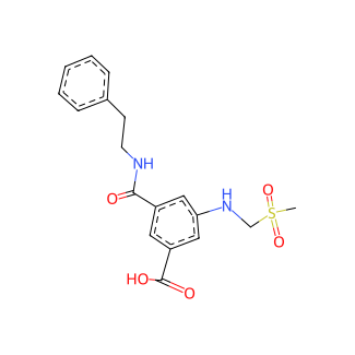 CS(=O)(=O)CNc1cc(C(=O)O)cc(C(=O)NCCc2ccccc2)c1